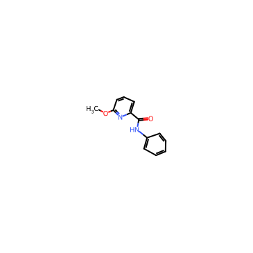 COc1cccc(C(=O)Nc2ccccc2)n1